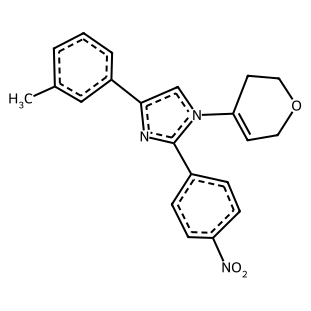 Cc1cccc(-c2cn(C3=CCOCC3)c(-c3ccc([N+](=O)[O-])cc3)n2)c1